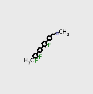 C/C=C/CCC1CC=C(c2ccc(-c3ccc(-c4ccc(C)c(F)c4F)cc3)cc2F)CC1